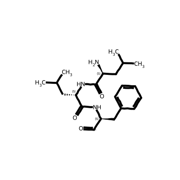 CC(C)C[C@H](NC(=O)[C@@H](N)CC(C)C)C(=O)N[C@H]([C]=O)Cc1ccccc1